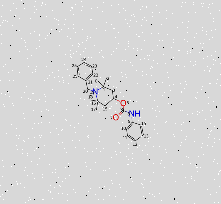 CC1(C)CC(OC(=O)Nc2ccccc2)CC(C)(C)N1Cc1ccccc1